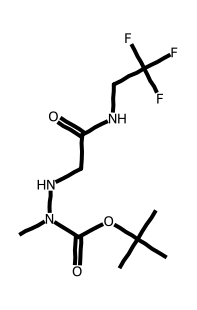 CN(NCC(=O)NCC(F)(F)F)C(=O)OC(C)(C)C